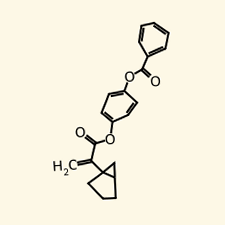 C=C(C(=O)Oc1ccc(OC(=O)c2ccccc2)cc1)C12CCCC1C2